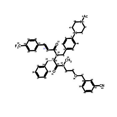 CC(=O)N1CCN(c2ccc(CN(C(=O)/C=C/c3ccc(C(F)(F)F)cc3)[C@@H](Cc3ccccc3)C(=O)N(C)CCOCc3cccc(C#N)c3)cc2)CC1